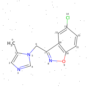 Cc1cncn1Cc1noc2ccc(Cl)cc12